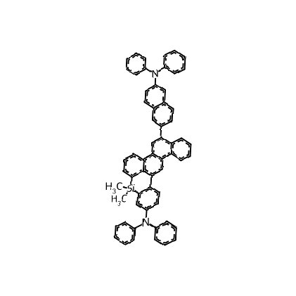 C[Si]1(C)c2cc(N(c3ccccc3)c3ccccc3)ccc2-c2cc3c4ccccc4c(-c4ccc5cc(N(c6ccccc6)c6ccccc6)ccc5c4)cc3c3cccc1c23